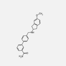 COc1ccc2c(c1)CC(NCc1ccc(-c3cccc(C(N)=O)c3)cc1)C2